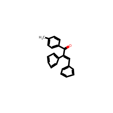 Cc1ccc(C(=O)C(=Cc2ccccc2)c2ccccc2)cc1